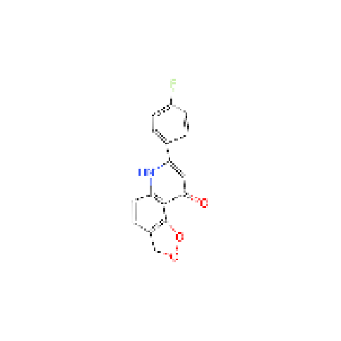 O=c1cc(-c2ccc(F)cc2)[nH]c2ccc3c(c12)OOC3